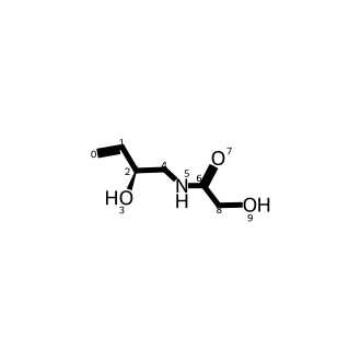 C=C[C@H](O)CNC(=O)CO